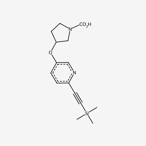 C[Si](C)(C)C#Cc1ccc(OC2CCN(C(=O)O)C2)cn1